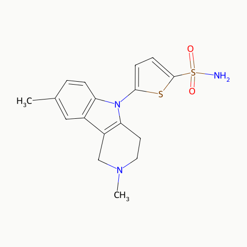 Cc1ccc2c(c1)c1c(n2-c2ccc(S(N)(=O)=O)s2)CCN(C)C1